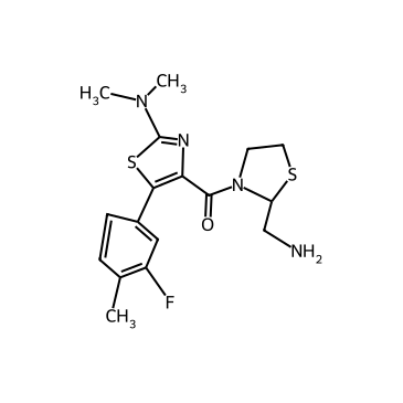 Cc1ccc(-c2sc(N(C)C)nc2C(=O)N2CCSC2CN)cc1F